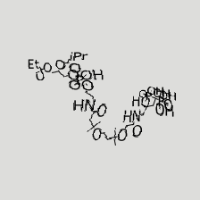 CCC(=O)OCC(COP(=O)(O)OCCNC(=O)CC(C)(C)OCCC(C)(C)OCC(=O)NCCCC(O)(P(=O)(O)O)P(=O)(O)O)OC(=O)C(C)C